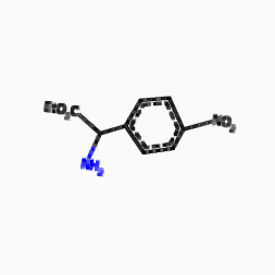 CCOC(=O)C(N)c1ccc([N+](=O)[O-])cc1